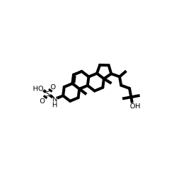 CC(CCC(C)(C)O)C1CCC2C3CC=C4CC(NS(=O)(=O)O)CCC4(C)C3CCC12C